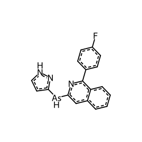 Fc1ccc(-c2nc([AsH]c3cc[nH]n3)cc3ccccc23)cc1